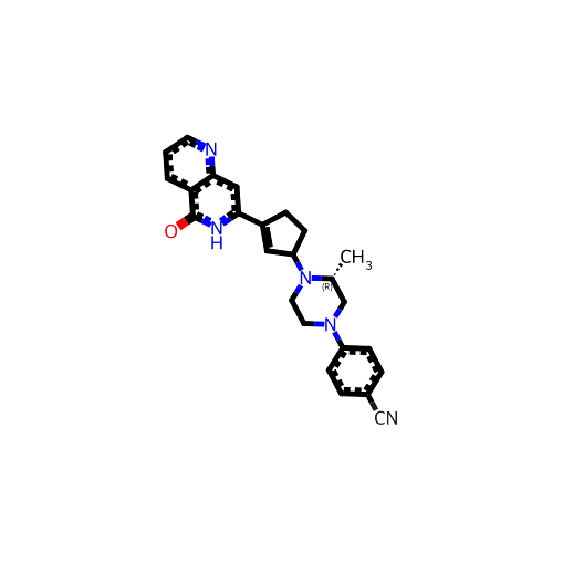 C[C@@H]1CN(c2ccc(C#N)cc2)CCN1C1C=C(c2cc3ncccc3c(=O)[nH]2)CC1